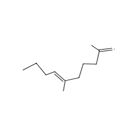 [CH]=C(C)CCCC(C)=CCCC